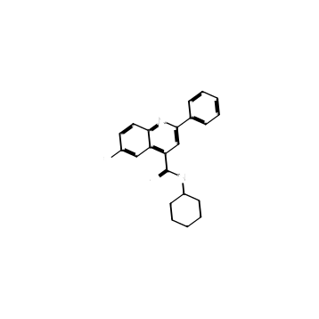 O=C(NC1CCCCC1)c1cc(-c2ccccc2)nc2ccc(Br)cc12